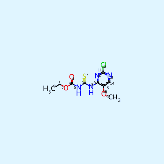 CCOC(=O)NC(=S)Nc1nc(Cl)ncc1OC